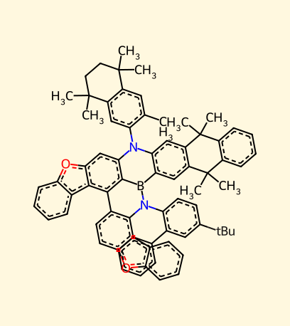 Cc1cc2c(cc1N1c3cc4c(cc3B3c5c1cc1oc6ccccc6c1c5-c1ccc5oc6ccccc6c5c1N3c1ccc(C(C)(C)C)cc1-c1ccccc1)C(C)(C)c1ccccc1C4(C)C)C(C)(C)CCC2(C)C